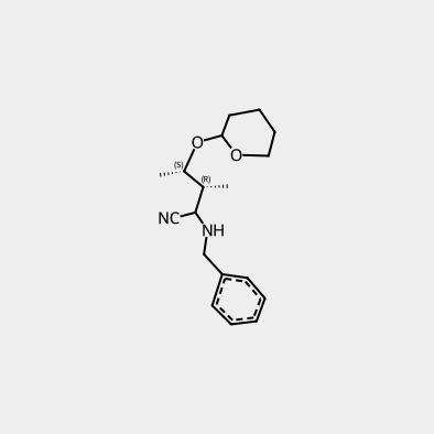 C[C@H](OC1CCCCO1)[C@H](C)C(C#N)NCc1ccccc1